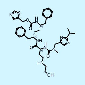 CC(C)c1nc(CN(C)C(=O)N[C@@H](CCNCCO)C(=O)N[C@@H](CC[C@@H](Cc2ccccc2)NC(=O)OCc2cncs2)Cc2ccccc2)cs1